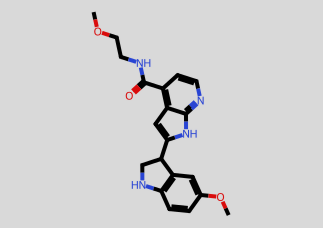 COCCNC(=O)c1ccnc2[nH]c(C3CNc4ccc(OC)cc43)cc12